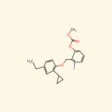 CCc1ccc(OCc2c(I)cccc2OC(=O)OC)c(C2CC2)c1